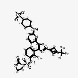 CS(=O)(=O)C1CCC(Nc2nccc(-c3sc(C45CC(C(F)(F)F)(C4)C5)nc3-c3cccc(NS(=O)(=O)N4CCOC4=O)c3F)n2)CC1